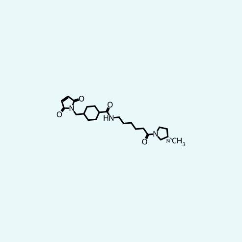 C[C@H]1CCN(C(=O)CCCCCNC(=O)C2CCC(CN3C(=O)C=CC3=O)CC2)C1